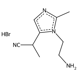 Br.Cc1ncc(C(C)C#N)n1CCN